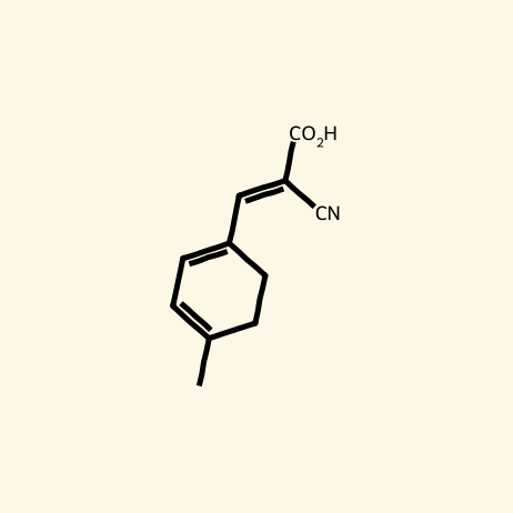 CC1=CC=C(/C=C(\C#N)C(=O)O)CC1